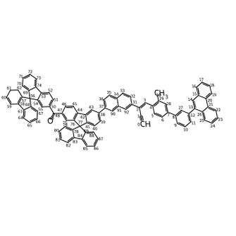 C#C/C(=C\c1ccc(-c2cccc(-c3cc4ccccc4c4ccccc34)c2)cc1C)c1ccc2ccc(-c3ccc4c(c3)-c3ccc(C(=O)c5ccc6c(c5)C5(C7=C(C=CCC7)c7ccccc75)c5ccccc5-6)cc3C43c4ccccc4-c4ccccc43)cc2c1